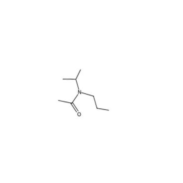 CCCN(C(C)=O)C(C)C